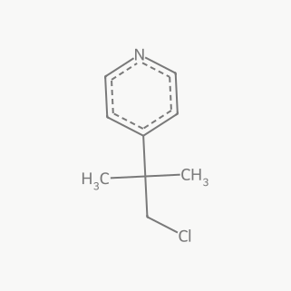 CC(C)(CCl)c1ccncc1